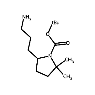 CC(C)(C)OC(=O)N1C(CCCN)CCC1(C)C